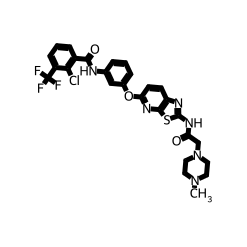 CN1CCN(CC(=O)Nc2nc3ccc(Oc4cccc(NC(=O)c5cccc(C(F)(F)F)c5Cl)c4)nc3s2)CC1